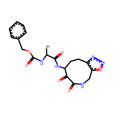 CC(C)C(NC(=O)OCc1ccccc1)C(=O)NC1CCc2nnoc2CNC(=O)C1=O